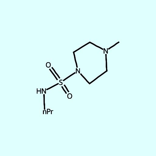 CCCNS(=O)(=O)N1CCN(C)CC1